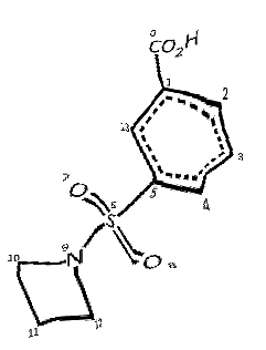 O=C(O)c1cccc(S(=O)(=O)N2CCC2)c1